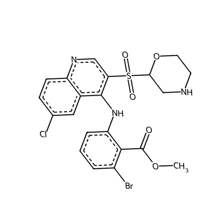 COC(=O)c1c(Br)cccc1Nc1c(S(=O)(=O)C2CNCCO2)cnc2ccc(Cl)cc12